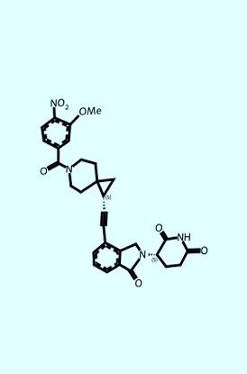 COc1cc(C(=O)N2CCC3(CC2)C[C@@H]3C#Cc2cccc3c2CN([C@H]2CCC(=O)NC2=O)C3=O)ccc1[N+](=O)[O-]